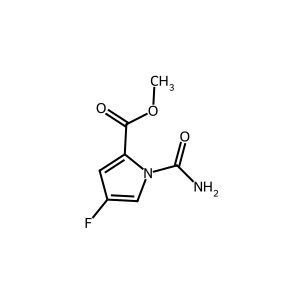 COC(=O)c1cc(F)cn1C(N)=O